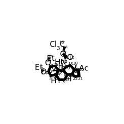 CCO[C@H]1C[C@@H]2CC[C@@H]3[C@H]([C@H](NC(=O)OCC(Cl)(Cl)Cl)C[C@]4(C)[C@@H](C(C)=O)CC[C@@H]34)[C@@]2(C)C[C@@H]1OCC